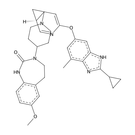 COc1ccc2c(c1)CCN(C1CCN(C34C=C(Oc5cc(C)c6nc(C7CC7)[nH]c6c5)N=C[C@H]3C4)CC1)C(=O)N2